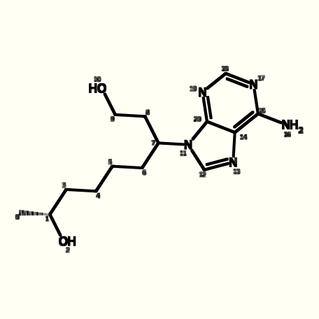 C[C@@H](O)CCCCC(CCO)n1cnc2c(N)ncnc21